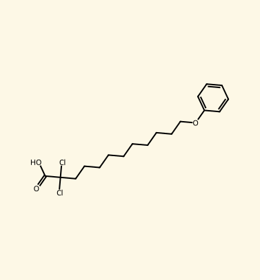 O=C(O)C(Cl)(Cl)CCCCCCCCCCOc1ccccc1